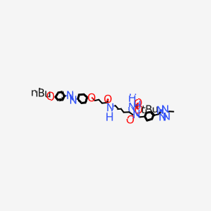 CCCCOc1ccc(N=Nc2ccc(OCCCC(=O)NCCCCC(NC(=O)OC(C)(C)C)C(=O)NCc3ccc(-c4nnc(C)nn4)cc3)cc2)cc1